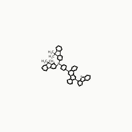 CC1(C)c2ccccc2-c2ccc(N(c3ccc(-c4cc5c6ccccc6c(-c6cccc7c6sc6ccccc67)cc5c5ccccc45)cc3)c3ccc4c(c3)C(C)(C)c3ccccc3-4)cc21